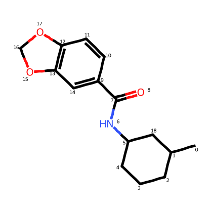 CC1CCCC(NC(=O)c2ccc3c(c2)OCO3)C1